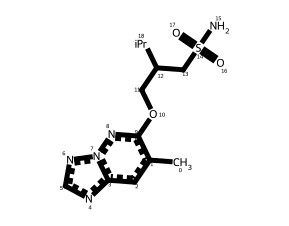 Cc1cc2ncnn2nc1OCC(CS(N)(=O)=O)C(C)C